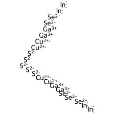 [Cu+2].[Cu+2].[Cu+2].[Cu+2].[Ga+3].[Ga+3].[Ga+3].[Ga+3].[In].[In].[In].[In].[S-2].[S-2].[S-2].[S-2].[S-2].[Se-2].[Se-2].[Se-2].[Se-2].[Se-2]